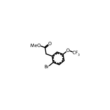 COC(=O)Cc1cc(OC(F)(F)F)ccc1Br